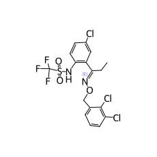 CC/C(=N\OCc1cccc(Cl)c1Cl)c1cc(Cl)ccc1NS(=O)(=O)C(F)(F)F